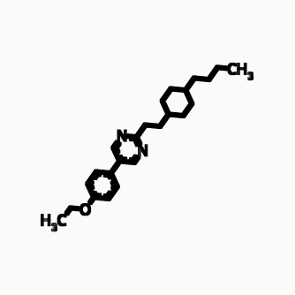 CCCCC1CCC(CCc2ncc(-c3ccc(OCC)cc3)cn2)CC1